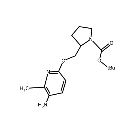 Cc1nc(OCC2CCCN2C(=O)OC(C)(C)C)ccc1N